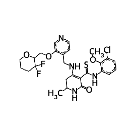 COc1c(Cl)cccc1NC(=S)C1=C(NCc2ccncc2OCC2OCCCC2(F)F)CC(C)NC1=O